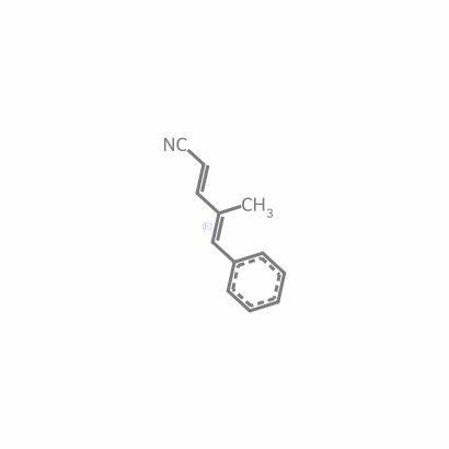 C/C(C=CC#N)=C\c1ccccc1